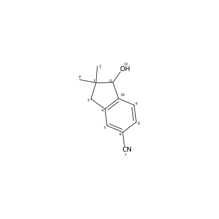 CC1(C)Cc2cc(C#N)ccc2C1O